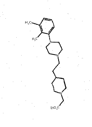 CCOC(=O)CN1CCC(CCN2CCN(c3cccc(C)c3C)CC2)CC1